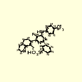 Cc1c(-c2ncnc(Nc3ccc(C(F)(F)F)cn3)c2F)ccc2cccnc12.O=S(=O)(O)c1ccccc1